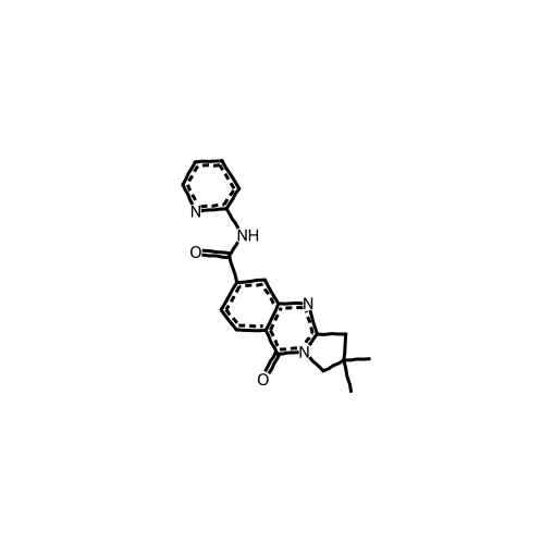 CC1(C)Cc2nc3cc(C(=O)Nc4ccccn4)ccc3c(=O)n2C1